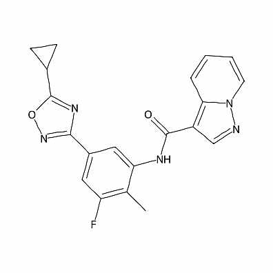 Cc1c(F)cc(-c2noc(C3CC3)n2)cc1NC(=O)c1cnn2ccccc12